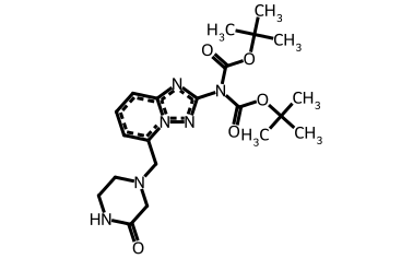 CC(C)(C)OC(=O)N(C(=O)OC(C)(C)C)c1nc2cccc(CN3CCNC(=O)C3)n2n1